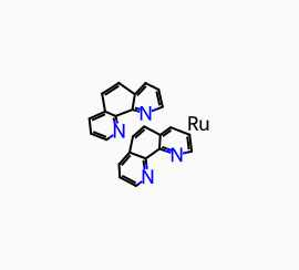 [Ru].c1cnc2c(c1)ccc1cccnc12.c1cnc2c(c1)ccc1cccnc12